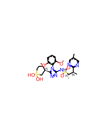 COc1cccc(OC)c1-n1c(NS(=O)(=O)[C@@H](C)[C@H](C)c2ncc(C)cn2)nnc1[C@@H]1CCCS(O)(O)C1